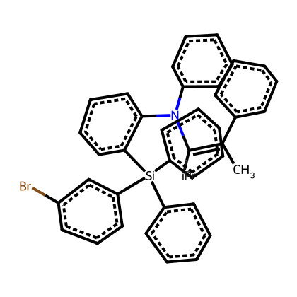 CC(=C(C(C)C)N(c1ccccc1)c1ccccc1[Si](c1ccccc1)(c1ccccc1)c1cccc(Br)c1)c1ccccc1